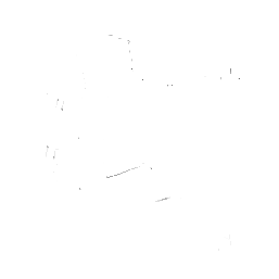 C[C@@H]1CCN(C(=O)CC#N)C[C@@H]1N(C)c1ncnc2c1ccn2COC(=O)O